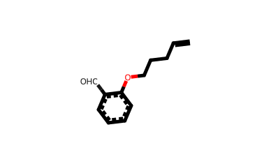 C=CCCCOc1ccccc1C=O